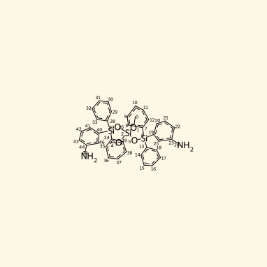 CO[Si](OC)(O[Si](c1ccccc1)(c1ccccc1)c1cccc(N)c1)O[Si](c1ccccc1)(c1ccccc1)c1cccc(N)c1